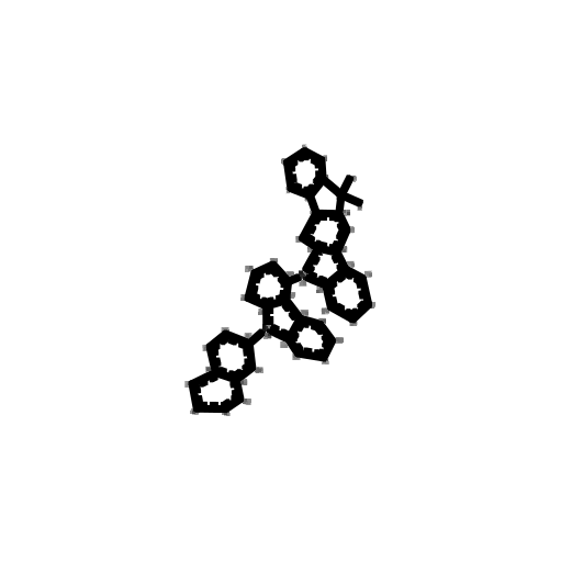 CC1(C)c2ccccc2-c2cc3c(cc21)c1ccccc1n3-c1cccc2c1c1ccccc1n2-c1ccc2ccccc2c1